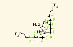 C[Si](C)(C)O[Si](C)(C(F)(F)C(F)(F)C(F)(F)C(F)(F)C(F)(F)CCC(F)(F)F)C(F)(F)C(F)(F)C(F)(F)C(F)(F)C(F)(F)CCC(F)(F)F